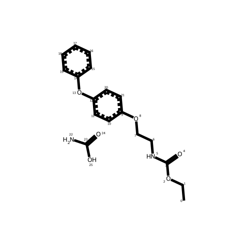 CCOC(=O)NCCOc1ccc(Oc2ccccc2)cc1.NC(=O)O